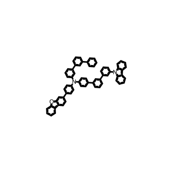 c1ccc(-c2cccc(-c3cccc(N(c4ccc(-c5cccc(-c6cccc(-n7c8ccccc8c8ccccc87)c6)c5)cc4)c4ccc(-c5ccc6c(c5)oc5ccccc56)cc4)c3)c2)cc1